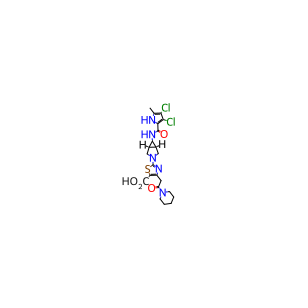 Cc1[nH]c(C(=O)N[C@H]2[C@@H]3CN(c4nc(CC(=O)N5CCCCC5)c(C(=O)O)s4)C[C@@H]32)c(Cl)c1Cl